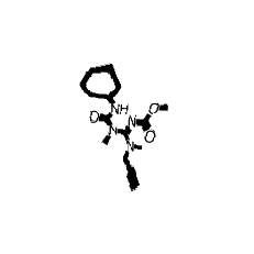 C#CCN(C)C(=NC(=O)OC)N(C)C(=O)NC1CCCCC1